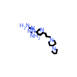 Nc1nc(N)n(-c2ccc(C=CCN3CCC(N4CCCC4)CC3)nc2)n1